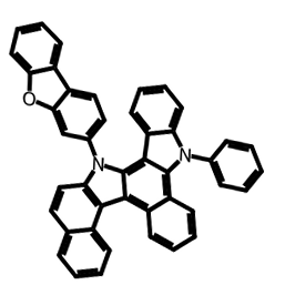 c1ccc(-n2c3ccccc3c3c2c2ccccc2c2c4c5ccccc5ccc4n(-c4ccc5c(c4)oc4ccccc45)c23)cc1